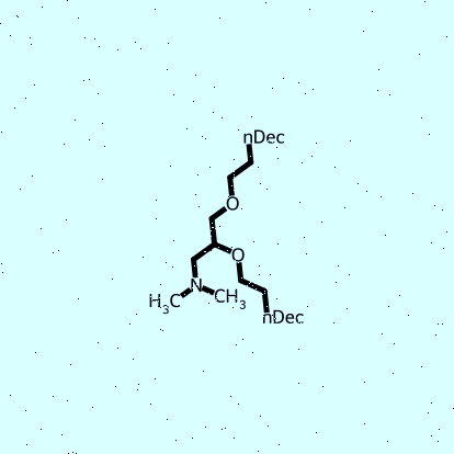 CCCCCCCCCCCCOCC(CN(C)C)OCCCCCCCCCCCC